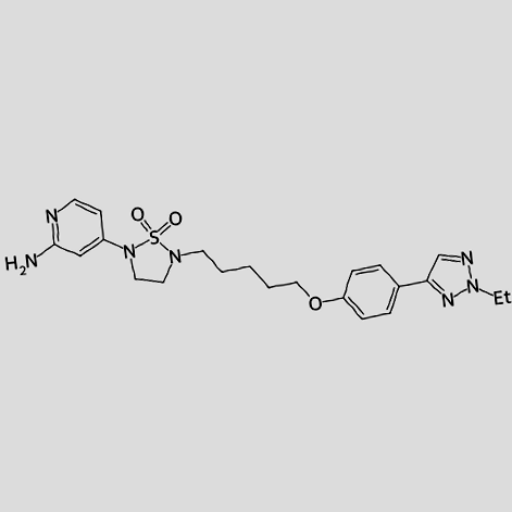 CCn1ncc(-c2ccc(OCCCCCN3CCN(c4ccnc(N)c4)S3(=O)=O)cc2)n1